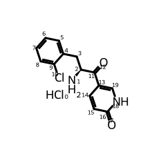 Cl.N[C@@H](Cc1ccccc1Cl)C(=O)c1ccc(=O)[nH]c1